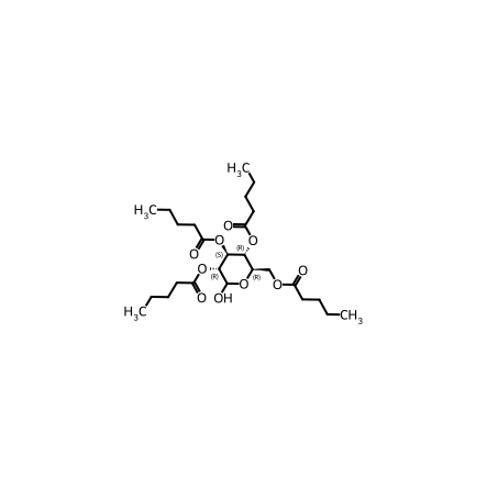 CCCCC(=O)OC[C@H]1OC(O)[C@H](OC(=O)CCCC)[C@@H](OC(=O)CCCC)[C@@H]1OC(=O)CCCC